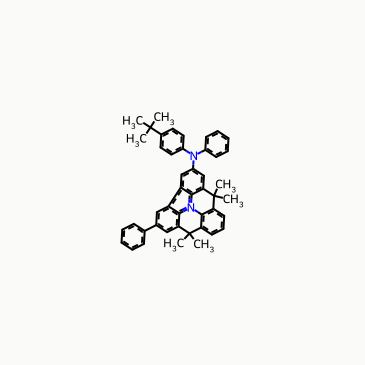 CC(C)(C)c1ccc(N(c2ccccc2)c2cc3c4c(c2)c2cc(-c5ccccc5)cc5c2n4-c2c(cccc2C3(C)C)C5(C)C)cc1